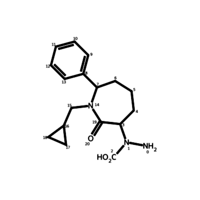 NN(C(=O)O)C1CCCC(c2ccccc2)N(CC2CC2)C1=O